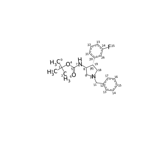 CC(C)(C)OC(=O)NC1CN(Cc2ccccc2)C[C@H]1c1cccc(F)c1